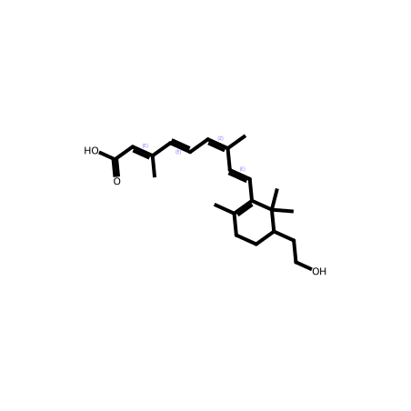 CC1=C(/C=C/C(C)=C\C=C\C(C)=C\C(=O)O)C(C)(C)C(CCO)CC1